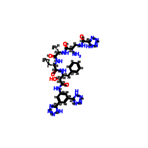 CC(C)C[C@H](NC(=O)[C@@H](NC(=O)[C@@H](N)CNC(=O)c1nnn[nH]1)C(C)C)C(=O)N[C@@H](Cc1ccccc1)[C@@H](O)C(=O)Nc1cc(-c2nnn[nH]2)cc(-c2nnn[nH]2)c1